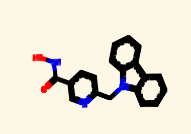 O=C(NO)c1ccc(Cn2c3ccccc3c3ccccc32)nc1